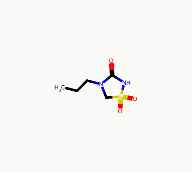 CCCN1CS(=O)(=O)NC1=O